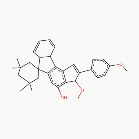 COc1ccc(C2=Cc3c(c(O)cc4c3C3C=CC=CC3C43CC(C)(C)CC(C)(C)C3)C2OC)cc1